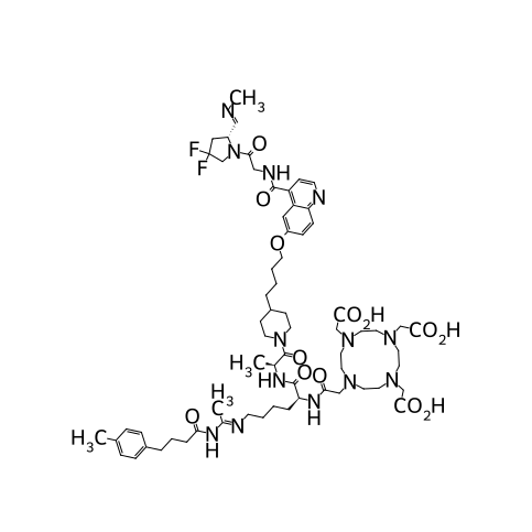 C/N=C/[C@H]1CC(F)(F)CN1C(=O)CNC(=O)c1ccnc2ccc(OCCCCC3CCN(C(=O)[C@H](C)NC(=O)[C@H](CCCC/N=C(\C)NC(=O)CCCc4ccc(C)cc4)NC(=O)CN4CCN(CC(=O)O)CCN(CC(=O)O)CCN(CC(=O)O)CC4)CC3)cc12